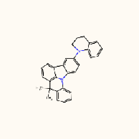 CC1(C)c2ccccc2-n2c3ccc(N4CCCc5ccccc54)cc3c3cccc1c32